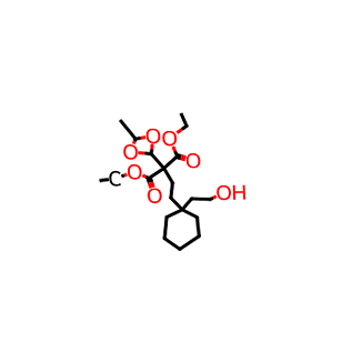 CCOC(=O)C(CCC1(CCO)CCCCC1)(C(=O)OCC)C1OC(C)O1